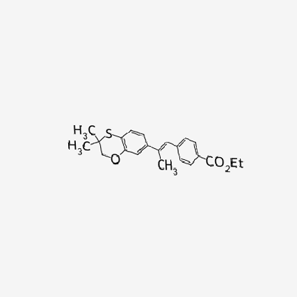 CCOC(=O)c1ccc(C=C(C)c2ccc3c(c2)OCC(C)(C)S3)cc1